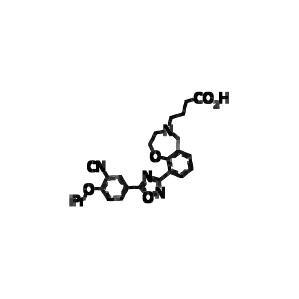 [C-]#[N+]c1cc(-c2nc(-c3cccc4c3OCCN(CCCC(=O)O)C4)no2)ccc1OC(C)C